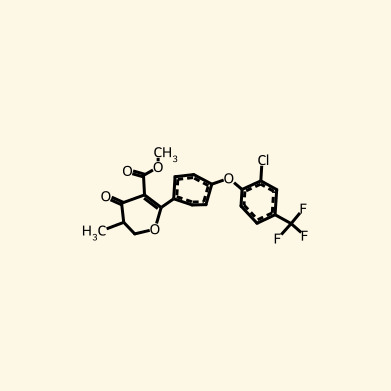 COC(=O)C1=C(c2ccc(Oc3ccc(C(F)(F)F)cc3Cl)cc2)OCC(C)C1=O